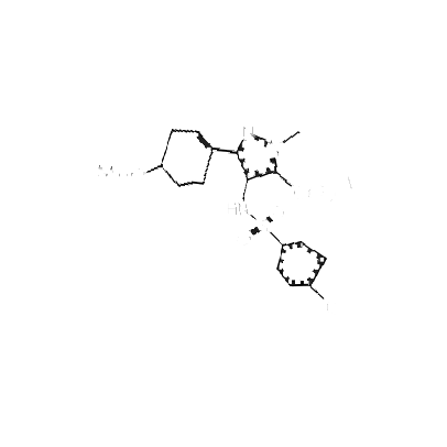 COC1CC=C(c2nn(C)c(C(=O)O)c2NS(=O)(=O)c2ccc(Cl)cc2)CC1